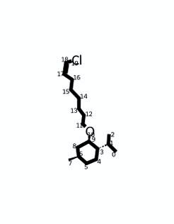 CC(C)[C@@H]1CC[C@@H](C)C[C@H]1OCCCCCC/C=C\Cl